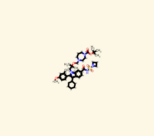 COc1ccc(-c2c(C3CCCCC3)c3ccc(C(=O)NS(=O)(=O)N4CCC4)cc3n2CC(C)(C)OCN2CCCN(C(=O)OC(C)(C)C)CC2)c(C)c1